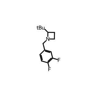 CC(C)(C)C1CCN1Cc1ccc(F)c(F)c1